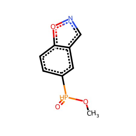 CO[PH](=O)c1ccc2oncc2c1